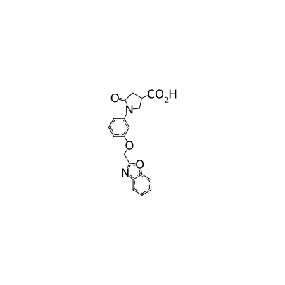 O=C(O)C1CC(=O)N(c2cccc(OCc3nc4ccccc4o3)c2)C1